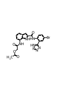 CC(=O)OCC(=O)Nc1cccc2cc(C(=O)Nc3ccc(Br)cc3-c3nnn[nH]3)[nH]c12